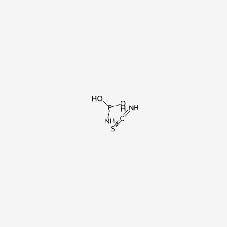 N=C=S.NP(O)O